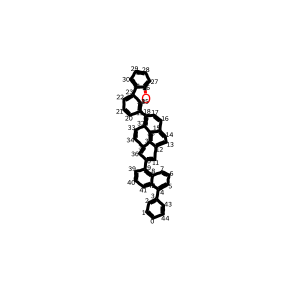 c1ccc(-c2cccc3c(-c4cc5ccc6ccc(-c7cccc8c7oc7ccccc78)c7ccc(c4)c5c67)cccc23)cc1